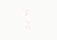 O=C[C@H](O)[C@@H](O)[C@H](O)[C@H](O)CO[C@H]1O[C@H](CO)[C@@H](O[C@H]2O[C@H](CO)[C@@H](O)[C@H](O)[C@H]2O)[C@H](O)[C@H]1O